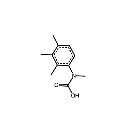 Cc1ccc(N(C)C(=O)O)c(C)c1C